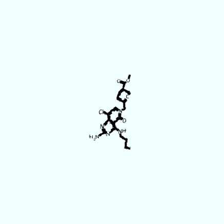 CCCCNc1nc(N)nc2c(Cl)cn(Cc3ccc(C(=O)OC)cc3)c(=O)c12